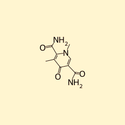 Cc1c(C(N)=O)n(C)cc(C(N)=O)c1=O